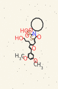 COc1cc(OC)cc(-c2cc(CCCO)c(/C=C3\SC(S(=O)(=O)O)N(C4CCCCCCCCCCC4)C3=O)o2)c1